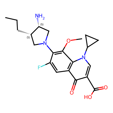 CCC[C@H]1CN(c2c(F)cc3c(=O)c(C(=O)O)cn(C4CC4)c3c2OC)C[C@H]1N